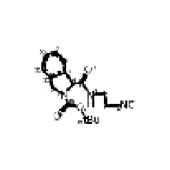 [C-]#[N+]CCNC(=O)C1c2ccccc2CN1C(=O)OC(C)(C)C